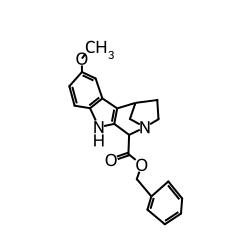 COc1ccc2[nH]c3c(c2c1)C1CCN(C1)C3C(=O)OCc1ccccc1